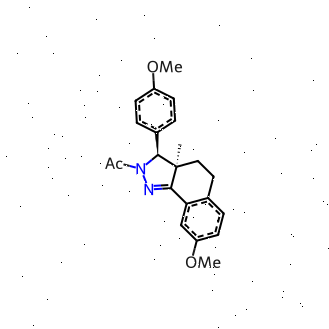 COc1ccc([C@@H]2N(C(C)=O)N=C3c4cc(OC)ccc4CC[C@@]32C)cc1